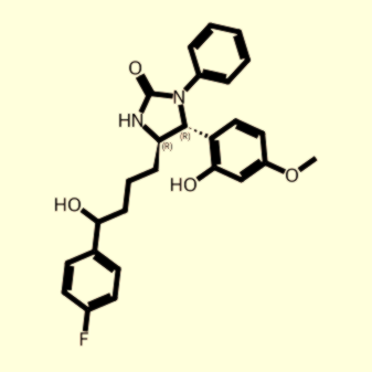 COc1ccc([C@@H]2[C@@H](CCCC(O)c3ccc(F)cc3)NC(=O)N2c2ccccc2)c(O)c1